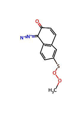 COOSc1ccc2c(c1)C=CC(=O)C2=[N+]=[N-]